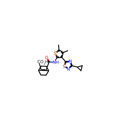 Cc1sc(NC(=O)C2=C(C(=O)O)C3CCC2CC3)c(-c2nc(C3CC3)ns2)c1C